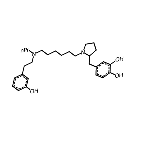 CCCN(CCCCCCN1CCCC1Cc1ccc(O)c(O)c1)CCc1cccc(O)c1